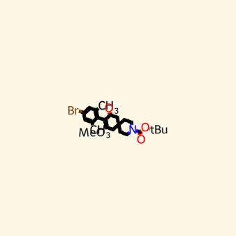 COC1=C(c2c(C)cc(Br)cc2C)C(=O)CC2(CCN(C(=O)OC(C)(C)C)CC2)C1